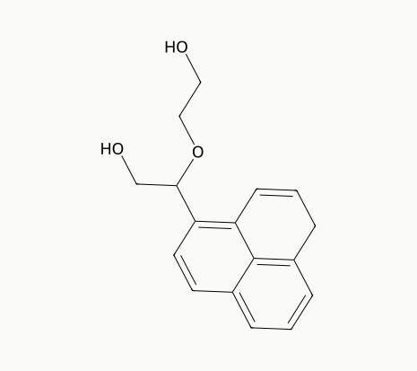 OCCOC(CO)c1ccc2cccc3c2c1C=CC3